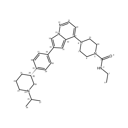 CCNC(=O)N1CCN(c2ccnn3cc(-c4ccc([C@H]5CCCN(C(C)C)C5)cc4)cc23)CC1